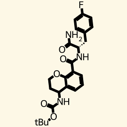 CC(C)(C)OC(=O)NC1CCOc2c(C(=O)N[C@@H](Cc3ccc(F)cc3)C(N)=O)cccc21